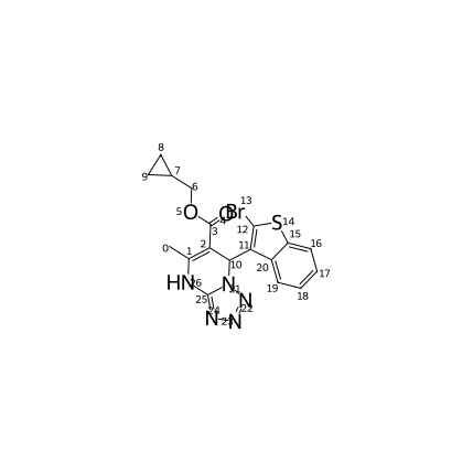 CC1=C(C(=O)OCC2CC2)C(c2c(Br)sc3ccccc23)n2nnnc2N1